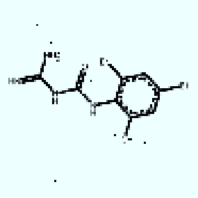 CCc1cc(C)c(NC(=O)NC(=N)N)c(Br)c1